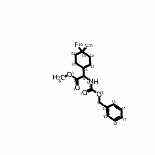 COC(=O)C(NC(=O)OCc1ccccc1)C1CCC(F)(F)CC1